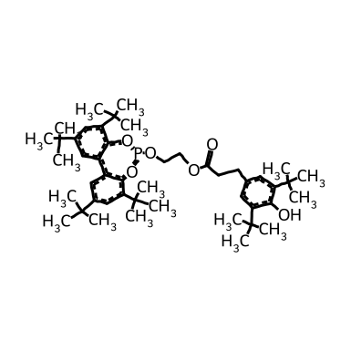 CC(C)(C)c1cc(C(C)(C)C)c2op(OCCOC(=O)CCc3cc(C(C)(C)C)c(O)c(C(C)(C)C)c3)oc3c(C(C)(C)C)cc(C(C)(C)C)cc3c2c1